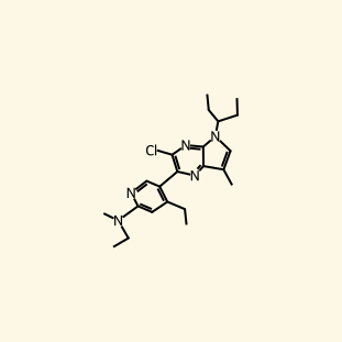 CCc1cc(N(C)CC)ncc1-c1nc2c(C)cn(C(CC)CC)c2nc1Cl